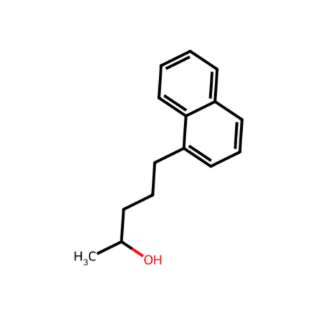 CC(O)CCCc1cccc2ccccc12